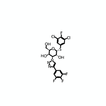 OC[C@H]1O[C@H](Sc2cc(Cl)c(F)c(Cl)c2)[C@H](O)[C@@H](n2cc(-c3cc(F)c(F)c(F)c3)nn2)[C@H]1O